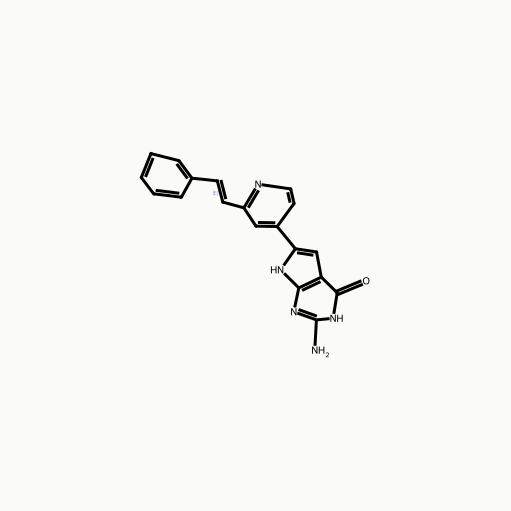 Nc1nc2[nH]c(-c3ccnc(/C=C/c4ccccc4)c3)cc2c(=O)[nH]1